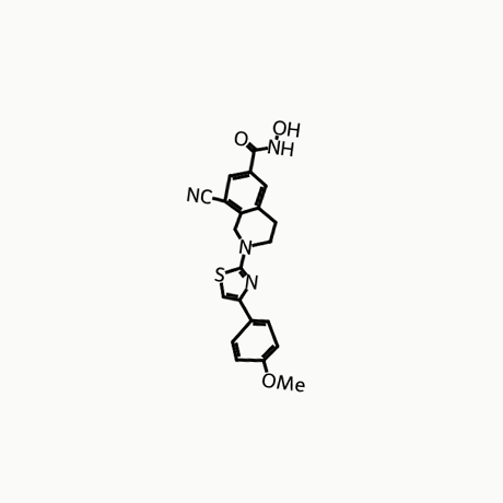 COc1ccc(-c2csc(N3CCc4cc(C(=O)NO)cc(C#N)c4C3)n2)cc1